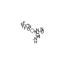 CCNc1cc2c(cn1)c(-c1ncco1)nn2C1CCC(Oc2nccc(C(F)(F)F)c2F)CC1